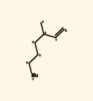 C=CC(C)CCCC(C)CC